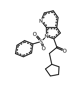 O=C(CC1CCCC1)c1cc2cccnc2n1S(=O)(=O)c1ccccc1